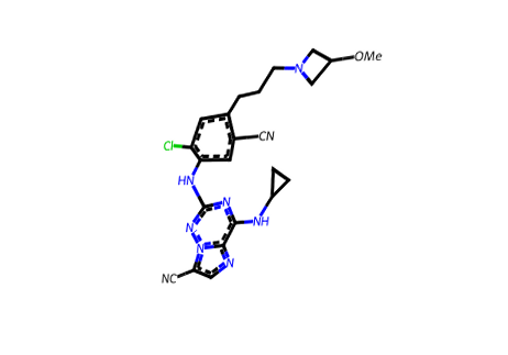 COC1CN(CCCc2cc(Cl)c(Nc3nc(NC4CC4)c4ncc(C#N)n4n3)cc2C#N)C1